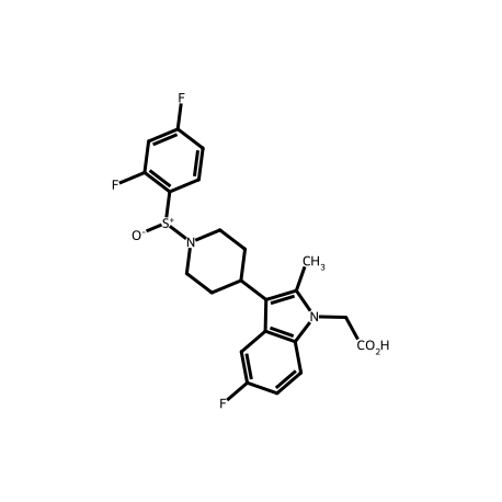 Cc1c(C2CCN([S+]([O-])c3ccc(F)cc3F)CC2)c2cc(F)ccc2n1CC(=O)O